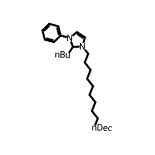 CCCCCCCCCCCCCCCCCCCN1C=CN(c2ccccc2)C1CCCC